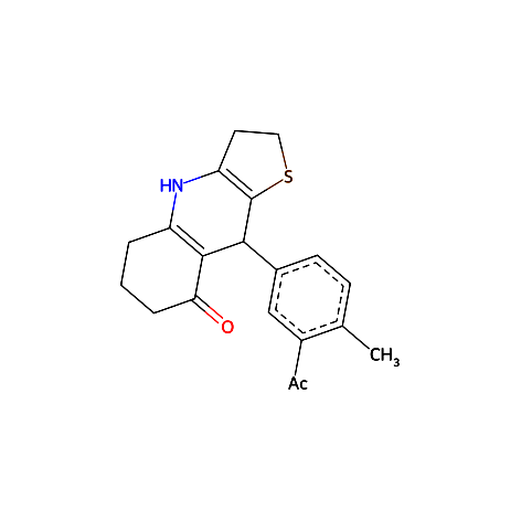 CC(=O)c1cc(C2C3=C(CCS3)NC3=C2C(=O)CCC3)ccc1C